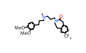 COc1ccc(CCCN(C)CCCN2CCc3cc(C(F)(F)F)ccc3CC2=O)cc1OC